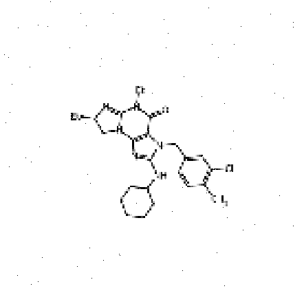 CC[C@@H]1CN2C(=N1)N(CC)C(=O)c1c2nc(NC2CCCCC2)n1Cc1ccc(C)c(Cl)c1